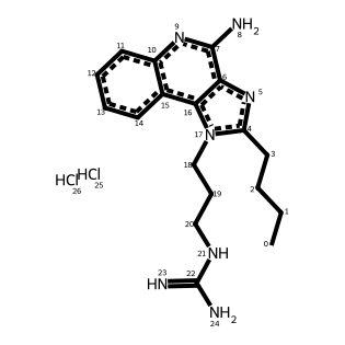 CCCCc1nc2c(N)nc3ccccc3c2n1CCCNC(=N)N.Cl.Cl